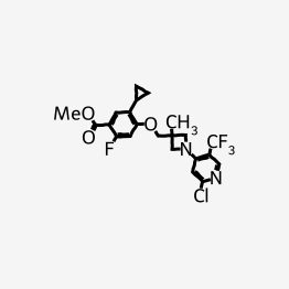 COC(=O)c1cc(C2CC2)c(OCC2(C)CN(c3cc(Cl)ncc3C(F)(F)F)C2)cc1F